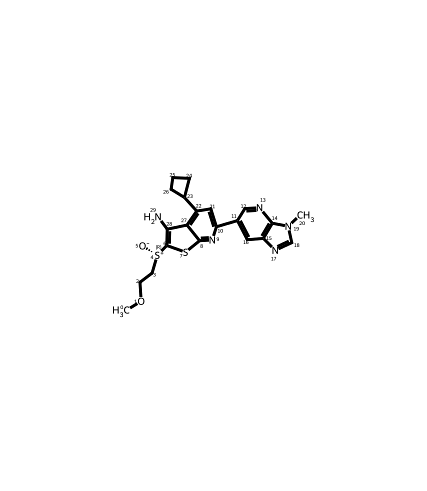 COCC[S@+]([O-])c1sc2nc(-c3cnc4c(c3)ncn4C)cc(C3CCC3)c2c1N